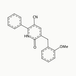 COc1ccccc1Cc1cc(C#N)c(-c2ccccc2)[nH]c1=O